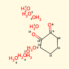 O.O.O.O.O.O.O.O.O=C1CCCCC1=O